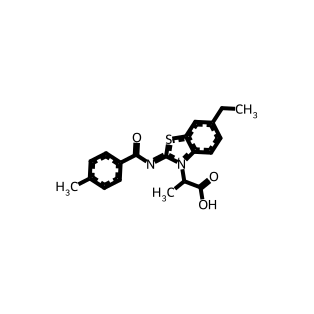 CCc1ccc2c(c1)sc(=NC(=O)c1ccc(C)cc1)n2C(C)C(=O)O